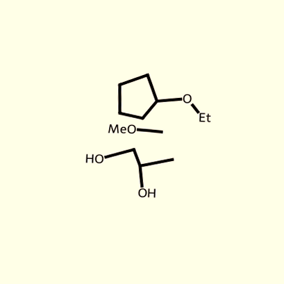 CC(O)CO.CCOC1CCCC1.COC